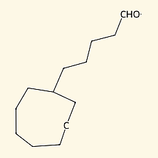 O=[C]CCCCC1CCCCCCC1